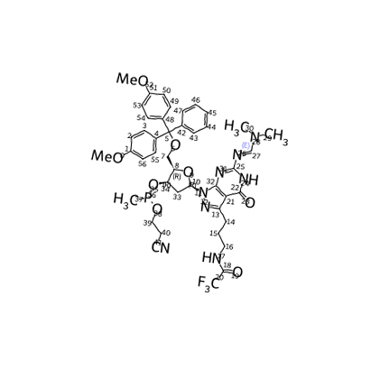 COc1ccc(C(OC[C@H]2O[C@@H](n3nc(CCCNC(=O)C(F)(F)F)c4c(=O)[nH]c(/N=C/N(C)C)nc43)C[C@H]2OP(C)OCCC#N)(c2ccccc2)c2ccc(OC)cc2)cc1